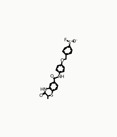 CC1Sc2ccc(C(=O)Nc3ccc(OCc4ccc([S+]([O-])F)cc4)cc3)cc2NC1=O